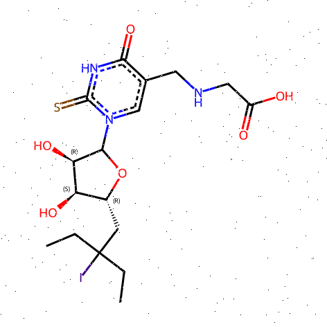 CCC(I)(CC)C[C@H]1OC(n2cc(CNCC(=O)O)c(=O)[nH]c2=S)[C@H](O)[C@@H]1O